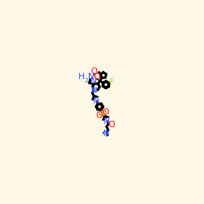 CN(C)CCC(=O)N1CC(S(=O)(=O)c2ccc(N3CC(CN4CCC([C@@](CN5CCC5)(c5cccc(F)c5)C5CCCC5(C)OC(N)=O)CC4)C3)cc2)C1